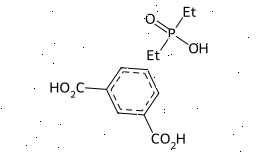 CCP(=O)(O)CC.O=C(O)c1cccc(C(=O)O)c1